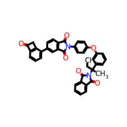 CCC(C)(c1cccc(Oc2ccc(N3C(=O)c4ccc(-c5cccc6c5CC6=O)cc4C3=O)cc2)c1)N1C(=O)c2ccccc2C1=O